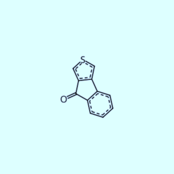 O=C1c2ccccc2-c2cscc21